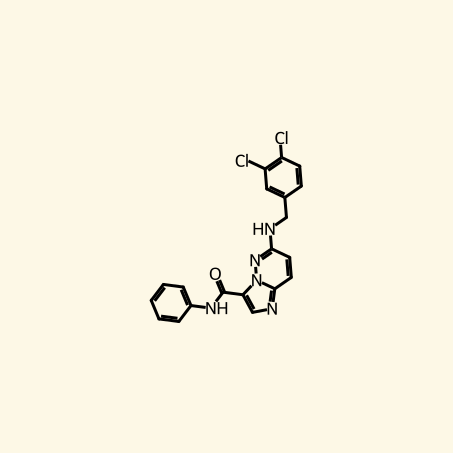 O=C(Nc1ccccc1)c1cnc2ccc(NCc3ccc(Cl)c(Cl)c3)nn12